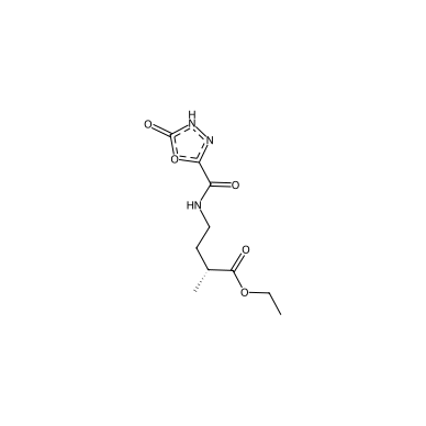 CCOC(=O)[C@H](C)CCNC(=O)c1n[nH]c(=O)o1